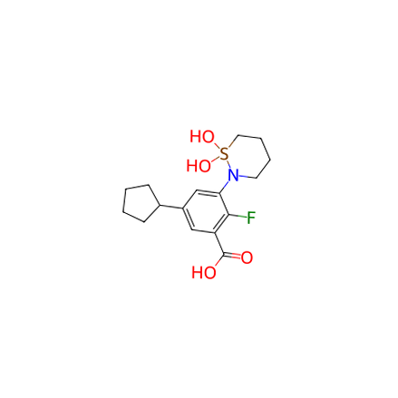 O=C(O)c1cc(C2CCCC2)cc(N2CCCCS2(O)O)c1F